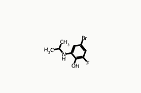 CC(C)Nc1cc(Br)cc(F)c1O